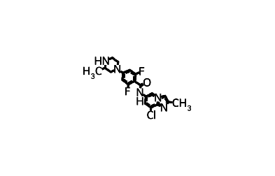 Cc1cn2cc(NC(=O)c3c(F)cc(N4CCNC(C)C4)cc3F)cc(Cl)c2n1